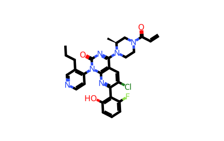 C=CC(=O)N1CCN(c2nc(=O)n(-c3ccncc3CCC)c3nc(-c4c(O)cccc4F)c(Cl)cc23)[C@@H](C)C1